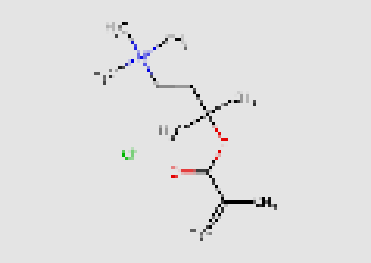 C=C(C)C(=O)OC(C)(C)CC[N+](C)(C)C.[Cl-]